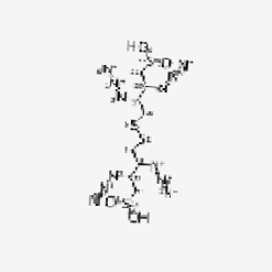 [N-]=[N+]=N[C@H](CSSC[C@@H](N=[N+]=[N-])[C@@H](CS(=O)O)N=[N+]=[N-])[C@@H](CS(=O)O)N=[N+]=[N-]